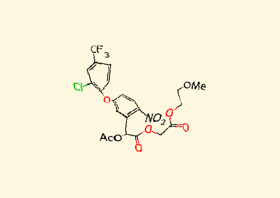 COCCOC(=O)COC(=O)C(OC(C)=O)c1cc(Oc2ccc(C(F)(F)F)cc2Cl)ccc1[N+](=O)[O-]